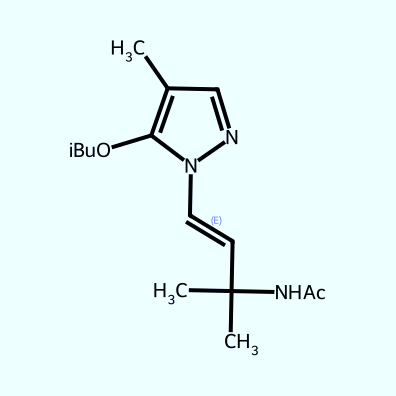 CC(=O)NC(C)(C)/C=C/n1ncc(C)c1OCC(C)C